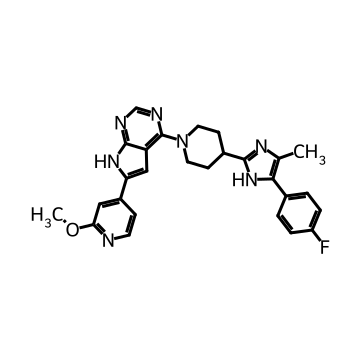 COc1cc(-c2cc3c(N4CCC(c5nc(C)c(-c6ccc(F)cc6)[nH]5)CC4)ncnc3[nH]2)ccn1